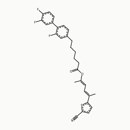 C/C(=C\C=C(/C)c1ccc(C#N)s1)OC(=O)CCCCCc1ccc(-c2ccc(F)c(F)c2)c(F)c1